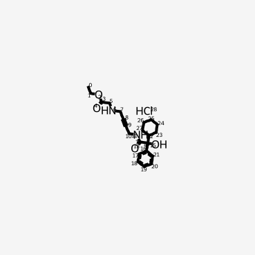 CCOC(=O)CNCC#CCNC(=O)C(O)(c1ccccc1)C1CCCCC1.Cl